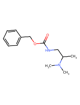 CC(CNC(=O)OCc1ccccc1)N(C)C